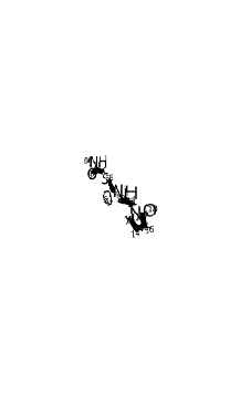 CNC(=O)CSCC(=O)NCCN1CC[C@@H](C)C1=O